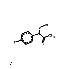 CC(=O)C(CBr)c1ccc(F)cc1